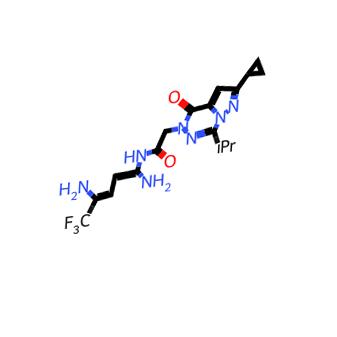 CC(C)c1nn(CC(=O)N/C(N)=C/C=C(\N)C(F)(F)F)c(=O)c2cc(C3CC3)nn12